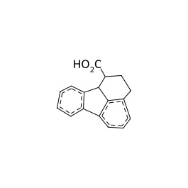 O=C(O)C1CCc2cccc3c2C1c1ccccc1-3